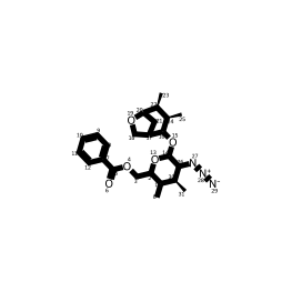 CC1C(COC(=O)c2ccccc2)OC(OC2C3COC(C3)[C@@H](C)[C@H]2C)C(N=[N+]=[N-])[C@H]1C